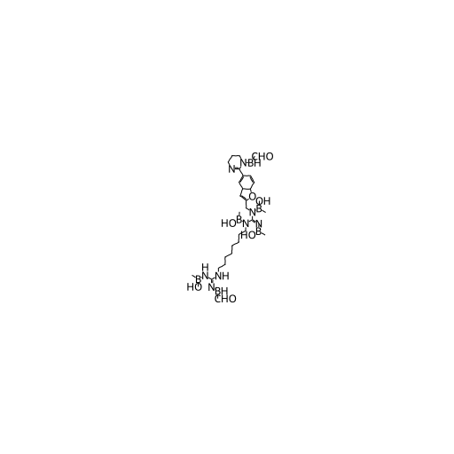 CB(O)/N=C(\N(CCCCCCCCN/C(=N\BC=O)NB(C)O)B(C)O)N(CC1=CC2C=C(C3=NCCCN3BC=O)C=CC2O1)B(C)O